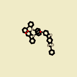 c1ccc(-c2nc3cc4c(cc3o2)oc2ccc(-c3ccc(N(c5ccccc5-c5ccccc5)c5cccc6c7ccccc7n(-c7ccccc7)c56)cc3)cc24)cc1